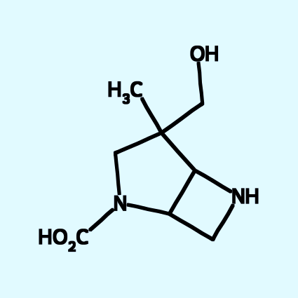 CC1(CO)CN(C(=O)O)C2CNC21